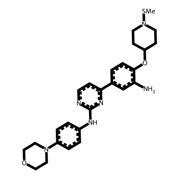 CSN1CCC(Oc2ccc(-c3ccnc(Nc4ccc(N5CCOCC5)cc4)n3)cc2N)CC1